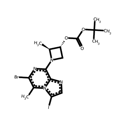 Cc1c(Br)nc(N2C[C@@H](OC(=O)OC(C)(C)C)[C@@H]2C)c2ncc(I)n12